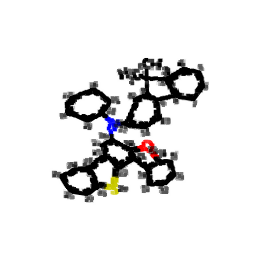 CC1(C)c2ccccc2-c2ccc(N(c3ccccc3)c3cc4c5ccccc5sc4c4c3oc3ccccc34)cc21